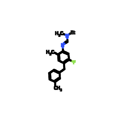 CCN(C)C=Nc1cc(F)c(Cc2cccc(C)c2)cc1C